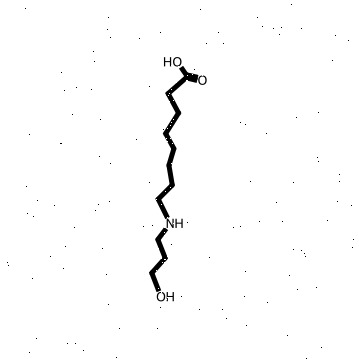 O=C(O)CCCCCCCNCCCO